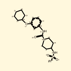 CC(C)S(=O)(=O)NC1CCN(C(=O)Nc2cccc(OC3CCCCC3)c2)CC1